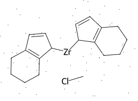 C1=C[CH]([Zr][CH]2C=CC3=C2CCCC3)C2=C1CCCC2.CCl